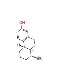 CCCC[C@H]1CCC[C@@H]2c3ccc(O)cc3CC[C@@]12C